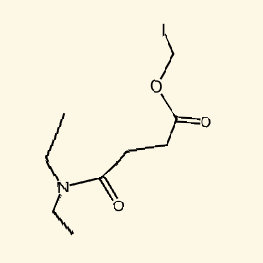 CCN(CC)C(=O)CCC(=O)OCI